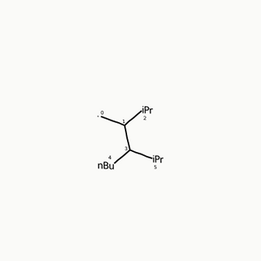 [CH2]C(C(C)C)C(CCCC)C(C)C